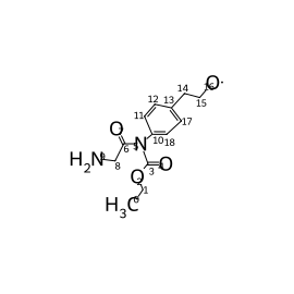 CCOC(=O)N(C(=O)CN)c1ccc(CC[O])cc1